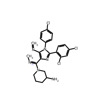 C=Nc1c(/C(=N\C)N2CCCC(N)C2)nc(-c2ccc(Cl)cc2Cl)n1-c1ccc(Cl)cc1